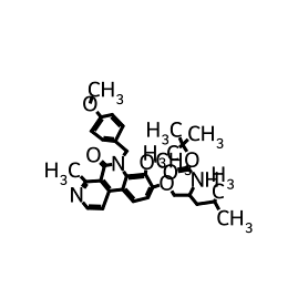 COc1ccc(Cn2c(=O)c3c(C)nccc3c3ccc(OCC(CC(C)C)NC(=O)OC(C)(C)C)c(OC)c32)cc1